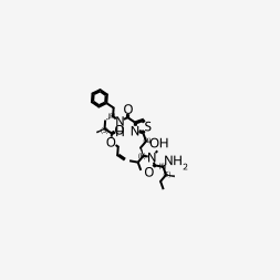 C=CCOC(=O)[C@@H](C)C[C@H](Cc1ccccc1)NC(=O)c1csc([C@H](O)C[C@H](C(C)C)N(C)C(=O)[C@@H](N)[C@@H](C)CC)n1